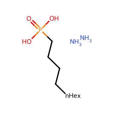 CCCCCCCCCCP(=O)(O)O.N.N